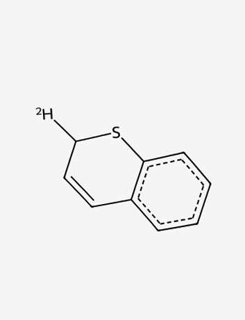 [2H]C1C=Cc2ccccc2S1